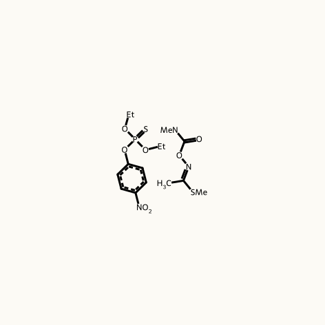 CCOP(=S)(OCC)Oc1ccc([N+](=O)[O-])cc1.CNC(=O)O/N=C(\C)SC